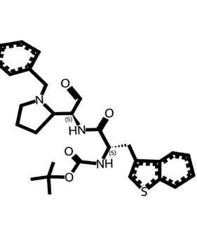 CC(C)(C)OC(=O)N[C@@H](Cc1csc2ccccc12)C(=O)N[C@H](C=O)C1CCCN1Cc1ccccc1